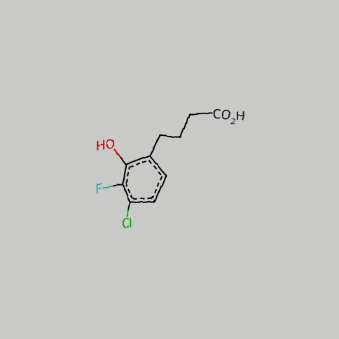 O=C(O)CCCc1ccc(Cl)c(F)c1O